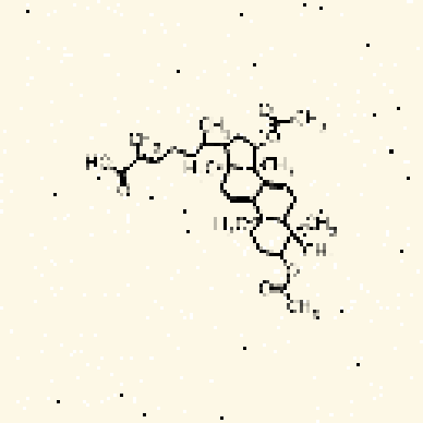 CC(=O)O[C@H]1CC[C@]2(C)C3=CC[C@]4(C)[C@@H](C(C)CC/C=C(\C)C(=O)O)C[C@H](OC(C)=O)[C@@]4(C)C3=CCC2C1(C)C